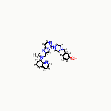 CN(Cc1cn2c(N3CCN(Cc4cccc(O)c4)CC3)nccc2n1)C1CCCc2cccnc21